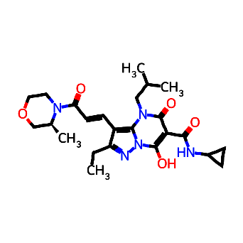 CCc1nn2c(O)c(C(=O)NC3CC3)c(=O)n(CC(C)C)c2c1/C=C/C(=O)N1CCOC[C@@H]1C